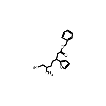 CC(C)CC(C)CCC(CC(=O)OCc1ccccc1)c1ccco1